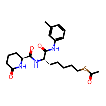 CC(=O)SCCCCC[C@H](NC(=O)[C@@H]1CCCC(=O)N1)C(=O)Nc1cccc(C)c1